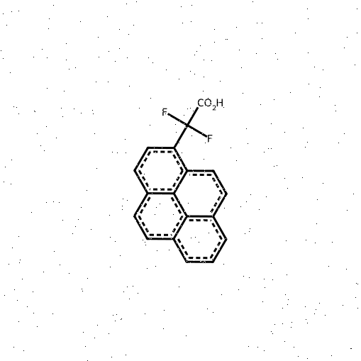 O=C(O)C(F)(F)c1ccc2ccc3cccc4ccc1c2c34